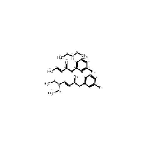 CCN(/C=C/C(=O)Cc1cccc(F)c1)CC.CCNCC.O=C(C=CO)Cc1cccc(F)c1